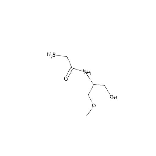 BCC(=O)NC(CO)COC